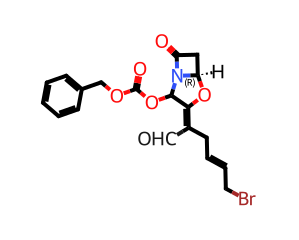 O=CC(CC=CCBr)=C1O[C@@H]2CC(=O)N2C1OC(=O)OCc1ccccc1